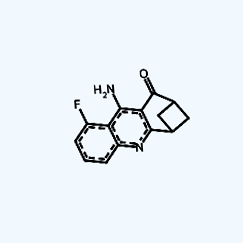 Nc1c2c(nc3cccc(F)c13)C1CC(C1)C2=O